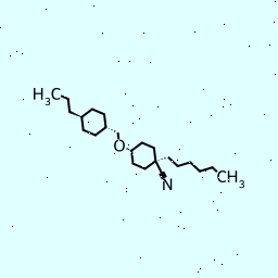 CCCCCC[C@]1(C#N)CC[C@H](OC[C@H]2CC[C@H](CCC)CC2)CC1